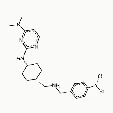 CCN(CC)c1ccc(CNC[C@H]2CC[C@@H](Nc3nccc(N(C)C)n3)CC2)cc1